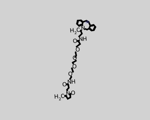 C=C1CCC(=O)N1CCC(=O)NCCOCCOCCOCCOCCC(=O)NCCC(=C)N1Cc2ccccc2/C=C\c2ccccc21